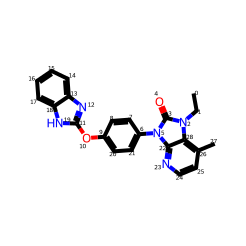 CCn1c(=O)n(-c2ccc(Oc3nc4ccccc4[nH]3)cc2)c2nccc(C)c21